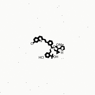 COC(=O)C(C1CCCN1)C1(CS[C@H](CCc2ccccc2C(C)(C)O)c2cccc(C=Cc3ccc4ccc(Cl)cc4n3)c2)CC1.Cl